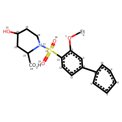 CCOc1cc(-c2ccccc2)ccc1S(=O)(=O)N1CCC(O)CC1C(=O)O